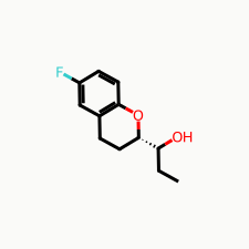 CCC(O)[C@@H]1CCc2cc(F)ccc2O1